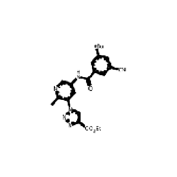 CCOC(=O)c1cn(-c2cc(NC(=O)c3cc(C#N)cc(C(C)(C)C)c3)cnc2C)nn1